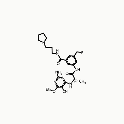 CCOc1nc(N)nc(N[C@@H](C)C(=O)Nc2cc(CF)cc(C(=O)NCCCN3CCCC3)c2)c1C#N